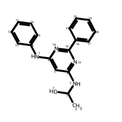 CC(O)Nc1cc(Nc2ccccc2)nc(-c2ccccc2)n1